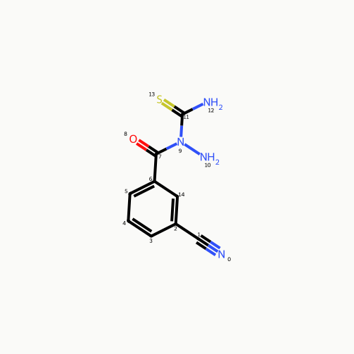 N#Cc1cccc(C(=O)N(N)C(N)=S)c1